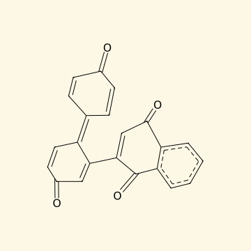 O=C1C=CC(=C2C=CC(=O)C=C2C2=CC(=O)c3ccccc3C2=O)C=C1